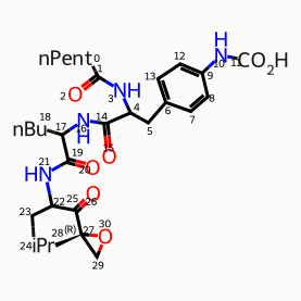 CCCCCC(=O)NC(Cc1ccc(NC(=O)O)cc1)C(=O)NC(CCCC)C(=O)NC(CC(C)C)C(=O)[C@@]1(C)CO1